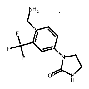 NCc1ccc(N2CCNC2=O)cc1C(F)(F)F